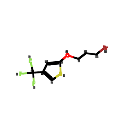 FC(F)(F)c1csc(OCCCBr)c1